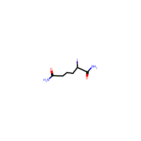 NC(=O)CCCC(I)C(N)=O